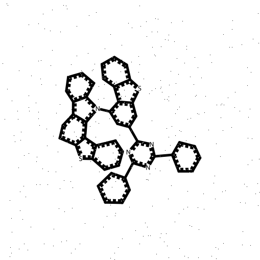 c1ccc(-c2nc(-c3ccccc3)nc(-c3cc(-n4c5ccccc5c5ccc6sc7ccccc7c6c54)c4c(c3)sc3ccccc34)n2)cc1